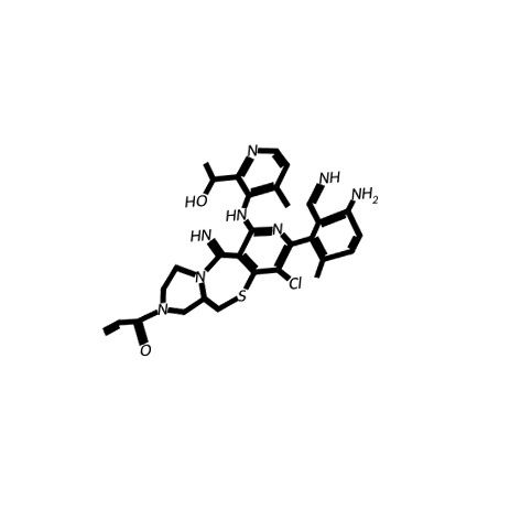 C=CC(=O)N1CCN2C(=N)c3c(Nc4c(C)ccnc4C(C)O)nc(-c4c(C)ccc(N)c4C=N)c(Cl)c3SCC2C1